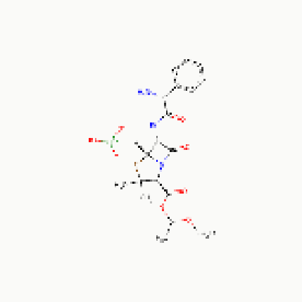 CCOC(=O)OC(C)OC(=O)[C@@H]1N2C(=O)[C@@H](NC(=O)[C@H](N)c3ccccc3)[C@H]2SC1(C)C.[O-][Cl+2]([O-])O